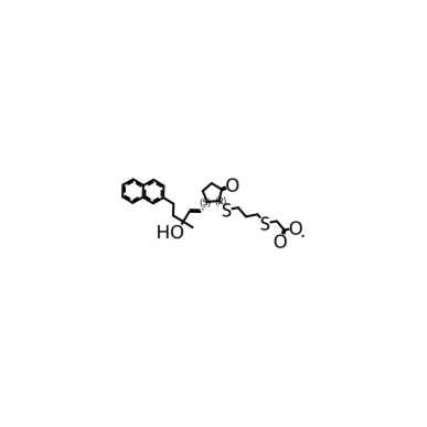 COC(=O)CSCCCS[C@H]1C(=O)CC[C@H]1C=CC(C)(O)CCc1ccc2ccccc2c1